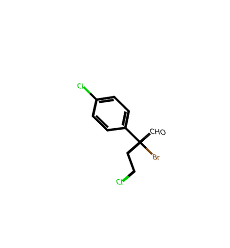 O=CC(Br)(CCCl)c1ccc(Cl)cc1